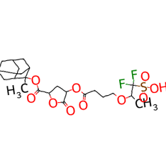 CC(OCCCC(=O)OC1CC(C(=O)OC2(C)C3CC4CC(C3)CC2C4)OC1=O)C(F)(F)S(=O)(=O)O